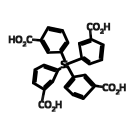 O=C(O)c1cccc([Si](c2cccc(C(=O)O)c2)(c2cccc(C(=O)O)c2)c2cccc(C(=O)O)c2)c1